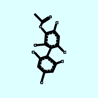 CC(=O)Oc1c(Cl)cc(Cl)c(-c2c(Cl)cc(Cl)cc2Cl)c1Cl